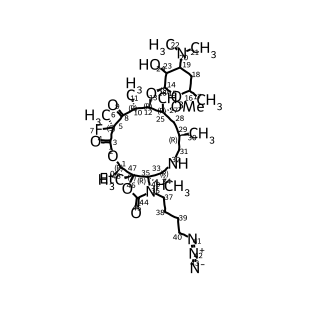 CC[C@H]1OC(=O)[C@@](C)(F)C(=O)[C@H](C)[C@@H](O[C@@H]2OC(C)CC(N(C)C)C2O)[C@](C)(OC)C[C@@H](C)CN[C@H](C)[C@H]2N(CCCCN=[N+]=[N-])C(=O)O[C@]12C